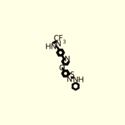 FC(F)(F)c1c[nH]c(-c2ccc(-c3cc(Oc4ccc5nc(NC6CCCCC6)sc5c4)ccn3)cc2)n1